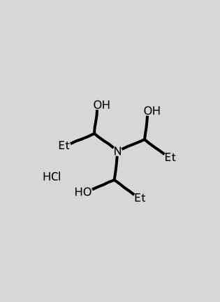 CCC(O)N(C(O)CC)C(O)CC.Cl